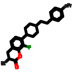 CCCc1ccc(CCC2CCC(c3ccc4c(c3F)OC(=O)C(CC)C4)CC2)cc1